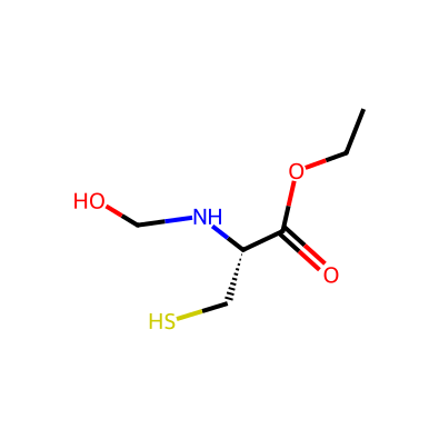 CCOC(=O)[C@H](CS)NCO